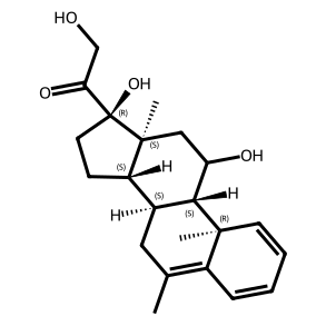 CC1=C2C=CC=C[C@]2(C)[C@H]2C(O)C[C@@]3(C)[C@@H](CC[C@]3(O)C(=O)CO)[C@@H]2C1